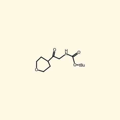 CC(C)(C)OC(=O)NCC(=O)C1CCOCC1